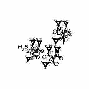 N.[O-][NH+](C1CC1)[Al]([NH+]([O-])C1CC1)[NH+]([O-])C1CC1.[O-][NH+](C1CC1)[Al]([NH+]([O-])C1CC1)[NH+]([O-])C1CC1.[O-][NH+](C1CC1)[Al]([NH+]([O-])C1CC1)[NH+]([O-])C1CC1